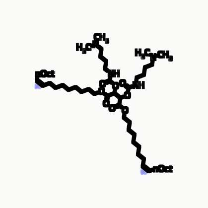 CCCCCCCC/C=C\CCCCCCCCOC(=O)C(OC(=O)NCCCCN(C)C)C(OC(=O)NCCCCN(C)C)C(=O)OCCCCCCCC/C=C\CCCCCCCC